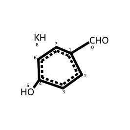 O=Cc1ccc(O)cc1.[KH]